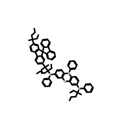 CCCC(C)(CC)c1ccc2c(c1)C1(c3ccccc3-c3ccccc31)c1cc(C(C)(CC)C(CC)(CCC)N(c3ccccc3)c3ccc4c(c3)Oc3cc(N(c5ccccc5)C(C)(CC)CCC)ccc3N4c3ccccc3)ccc1-2